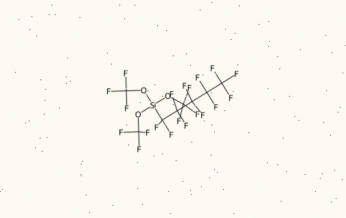 FC(F)(F)O[Si](OC(F)(F)F)(OC(F)(F)F)C(F)(F)C(F)(F)C(F)(F)C(F)(F)C(F)(F)F